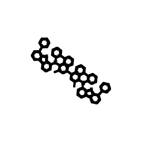 Cc1cc(-c2ccc(N(c3ccccc3-c3ccccc3)c3cccc4c3sc3c(-c5ccccc5)cccc34)c(C)c2)ccc1N(c1ccccc1-c1ccccc1)c1cccc2c1sc1c(-c3ccccc3)cccc12